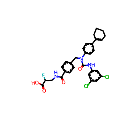 O=C(NCC(F)C(=O)O)c1ccc(CN(C(=O)Nc2cc(Cl)cc(Cl)c2)c2ccc(C3=CCCCC3)cc2)cc1